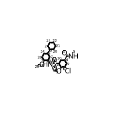 CNC(=O)c1cc(Cl)c(OC)c(S(=O)(=O)Nc2cc(-c3ccccc3)ccc2OC)c1